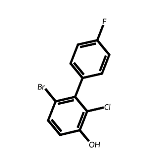 Oc1ccc(Br)c(-c2ccc(F)cc2)c1Cl